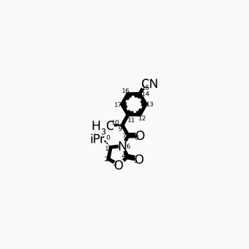 CC(C)[C@H]1COC(=O)N1C(=O)[C@@H](C)c1ccc(C#N)cc1